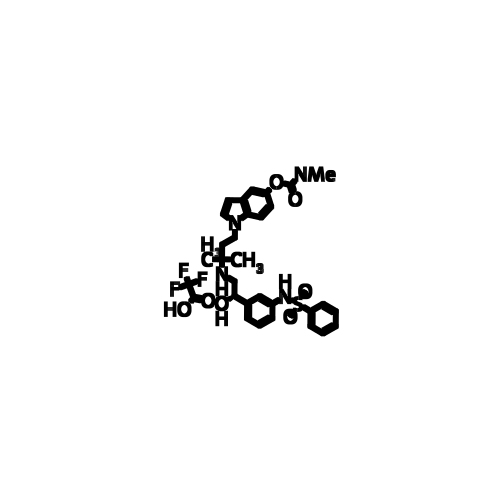 CNC(=O)Oc1ccc2c(ccn2CCC(C)(C)NC[C@H](O)c2cccc(NS(=O)(=O)c3ccccc3)c2)c1.O=C(O)C(F)(F)F